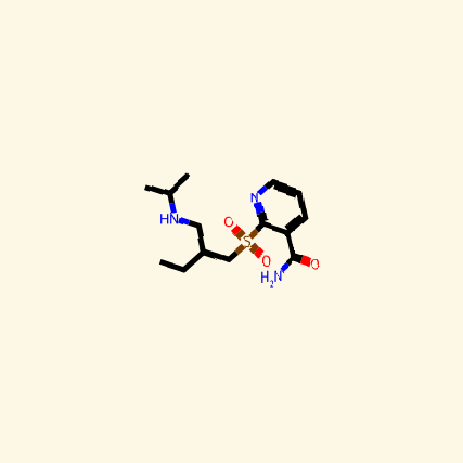 CCC(CNC(C)C)CS(=O)(=O)c1ncccc1C(N)=O